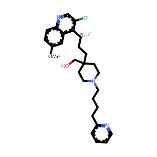 COc1ccc2ncc(Cl)c([C@H](F)CCC3(CO)CCN(CCCCc4ccccn4)CC3)c2c1